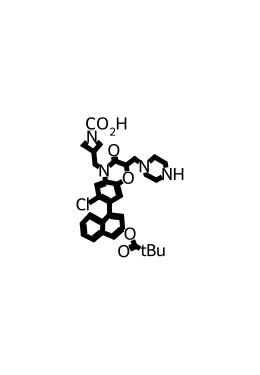 CC(C)(C)C(=O)Oc1cc(-c2cc3c(cc2Cl)N(CC2CN(C(=O)O)C2)C(=O)C(CN2CCNCC2)O3)c2ccccc2c1